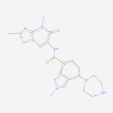 Cc1cn2cc(NC(=O)c3ccc(N4CCNCC4)c4cn(C)nc34)c(=O)n(C)c2n1